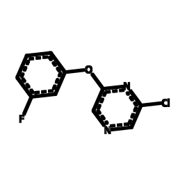 Fc1cccc(Oc2cncc(Cl)n2)c1